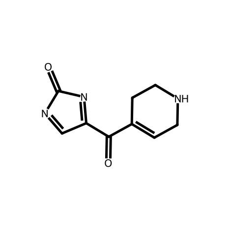 O=C1N=CC(C(=O)C2=CCNCC2)=N1